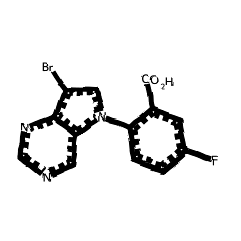 O=C(O)c1cc(F)ccc1-n1cc(Br)c2ncncc21